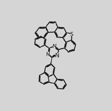 c1ccc(-c2nc(-c3cc4c5c(cccc5c3)-c3ccccc3-4)nc(-c3cccc4sc5cc6ccc7ccccc7c6cc5c34)n2)cc1